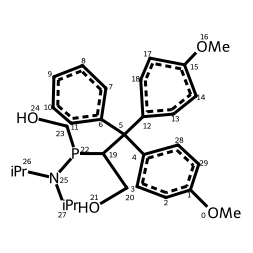 COc1ccc(C(c2ccccc2)(c2ccc(OC)cc2)C(CO)P(CO)N(C(C)C)C(C)C)cc1